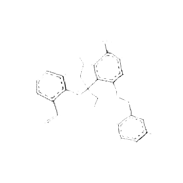 CCCC(CC)(Pc1ccccc1C=O)c1cc(C)ccc1OCc1ccccc1